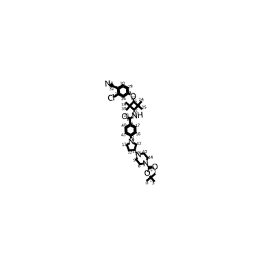 CC(C)(C)OC(=O)N1CCN([C@@H]2CCN(c3ccc(C(=O)N[C@H]4C(C)(C)[C@H](Oc5ccc(C#N)c(Cl)c5)C4(C)C)cc3)C2)CC1